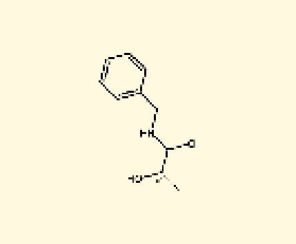 C[C@H](O)C(Cl)NCc1ccccc1